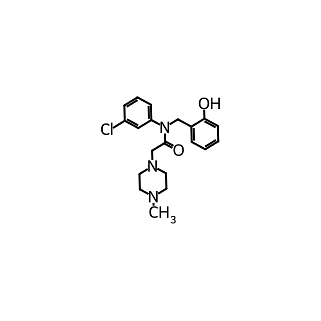 CN1CCN(CC(=O)N(Cc2ccccc2O)c2cccc(Cl)c2)CC1